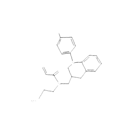 C=CC(=O)N(CCOC)CC1Cc2ccccc2N(c2ccc(C(F)(F)F)cc2)C1